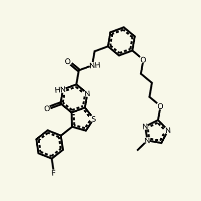 Cn1cnc(OCCCOc2cccc(CNC(=O)c3nc4scc(-c5cccc(F)c5)c4c(=O)[nH]3)c2)n1